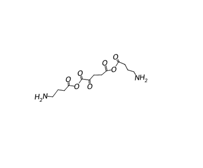 NCCCC(=O)OC(=O)CCC(=O)C(=O)OC(=O)CCCN